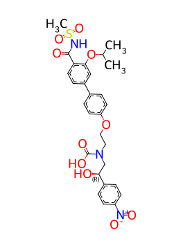 CC(C)Oc1cc(-c2ccc(OCCN(C[C@H](O)c3ccc([N+](=O)[O-])cc3)C(=O)O)cc2)ccc1C(=O)NS(C)(=O)=O